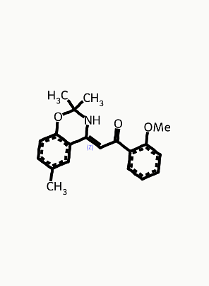 COc1ccccc1C(=O)/C=C1\NC(C)(C)Oc2ccc(C)cc21